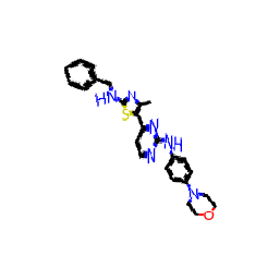 Cc1nc(NCc2ccccc2)sc1-c1ccnc(Nc2ccc(N3CCOCC3)cc2)n1